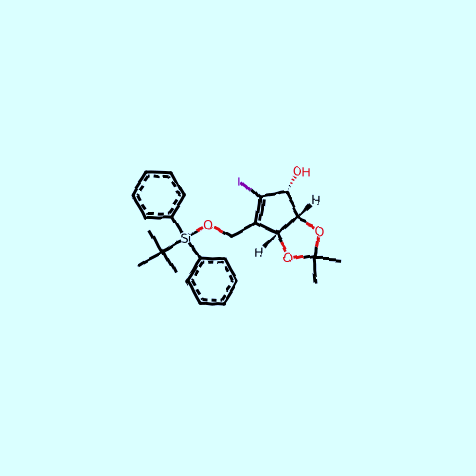 CC1(C)O[C@@H]2[C@H](O1)C(CO[Si](c1ccccc1)(c1ccccc1)C(C)(C)C)=C(I)[C@@H]2O